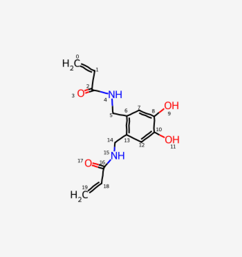 C=CC(=O)NCc1cc(O)c(O)cc1CNC(=O)C=C